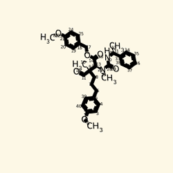 COc1ccc(CCC[C@@](C)(C=O)[C@@H](C(=O)OCc2ccc(OC)cc2)N(C)C(=O)N[C@H](C)c2ccccc2)cc1